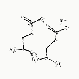 CC(C)CCC(=O)[O-].CC(C)CCC(=O)[O-].[Ni+2]